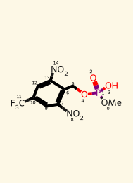 COP(=O)(O)OCc1c([N+](=O)[O-])cc(C(F)(F)F)cc1[N+](=O)[O-]